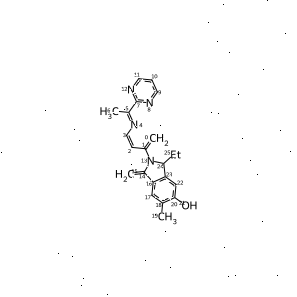 C=C(/C=C\N=C(/C)c1ncccn1)N1C(=C)c2cc(C)c(O)cc2C1CC